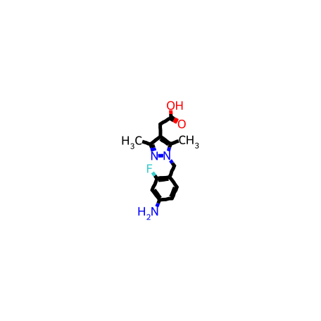 Cc1nn(Cc2ccc(N)cc2F)c(C)c1CC(=O)O